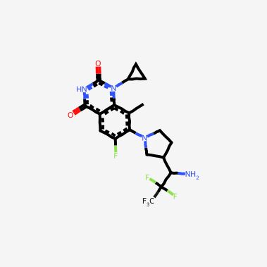 Cc1c(N2CCC(C(N)C(F)(F)C(F)(F)F)C2)c(F)cc2c(=O)[nH]c(=O)n(C3CC3)c12